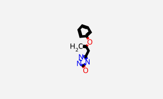 C=C(CC1=NC(=O)N=N1)Oc1ccccc1